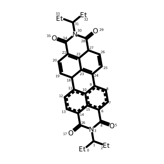 CCC(CC)N1C(=O)c2ccc3c4c(ccc(c24)C1=O)C1C=CC2=C4C1=C3C=CC4C(=O)N(C(CC)CC)C2=O